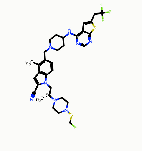 Cc1c(CN2CCC(Nc3ncnc4sc(CC(F)(F)F)cc34)CC2)ccc2c1cc(C#N)n2C[C@@H](C)N1CCN(SCF)CC1